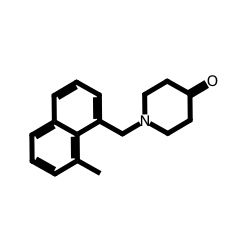 Cc1cccc2cccc(CN3CCC(=O)CC3)c12